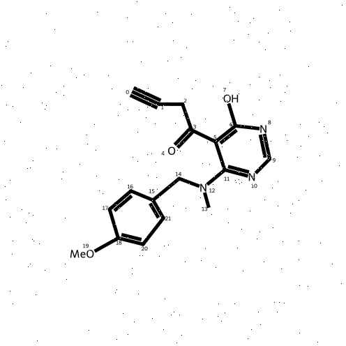 C#CCC(=O)c1c(O)ncnc1N(C)Cc1ccc(OC)cc1